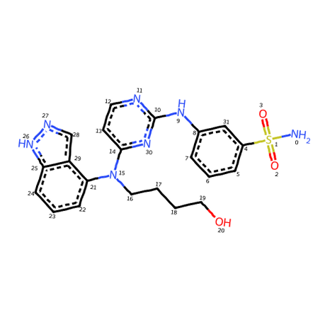 NS(=O)(=O)c1cccc(Nc2nccc(N(CCCCO)c3cccc4[nH]ncc34)n2)c1